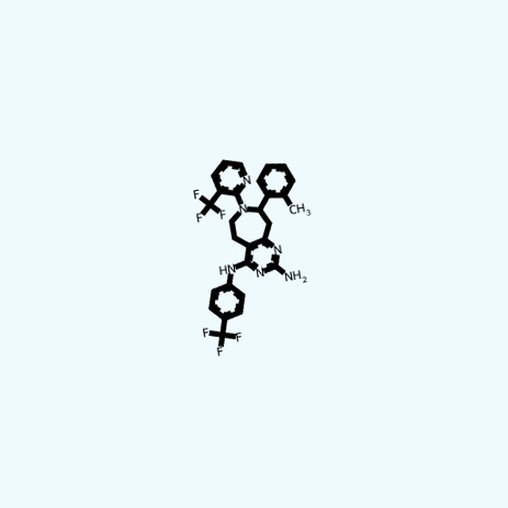 Cc1ccccc1C1Cc2nc(N)nc(Nc3ccc(C(F)(F)F)cc3)c2CCN1c1ncccc1C(F)(F)F